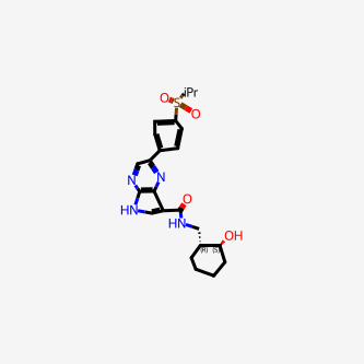 CC(C)S(=O)(=O)c1ccc(-c2cnc3[nH]cc(C(=O)NC[C@H]4CCCC[C@@H]4O)c3n2)cc1